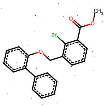 COC(=O)c1cccc(COc2ccccc2-c2ccccc2)c1Br